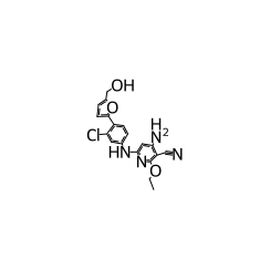 CCOc1nc(Nc2ccc(-c3ccc(CO)o3)c(Cl)c2)cc(N)c1C#N